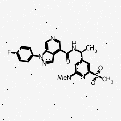 CNc1cc([C@H](C)NC(=O)c2cncc3c2cnn3-c2ccc(F)cc2)cc(S(C)(=O)=O)n1